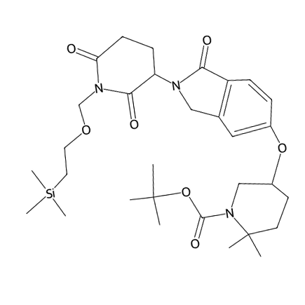 CC(C)(C)OC(=O)N1CC(Oc2ccc3c(c2)CN(C2CCC(=O)N(COCC[Si](C)(C)C)C2=O)C3=O)CCC1(C)C